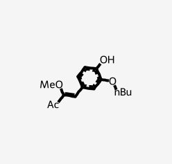 CCCCOc1cc(/C=C(\OC)C(C)=O)ccc1O